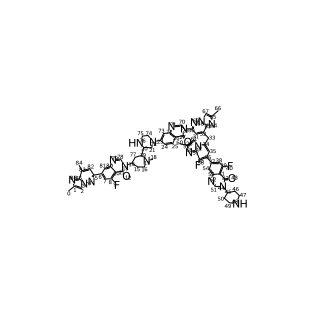 Cc1cn2nc(-c3cc(F)c4c(=O)n(C5CCN(C)C(C6CN(c7ccc8c(=O)n(-c9cc(Cc%10cc(-c%11cc(F)c%12c(=O)n(C%13CCNCC%13)cnc%12c%11)c(F)c%11nc(C)cn%10%11)c%10nc(C)cn%10n9)cnc8c7)CCN6)C5)cnc4c3)cc(C)c2n1